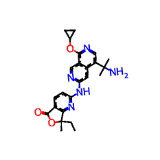 CC[C@]1(C)OC(=O)c2ccc(Nc3cc4c(C(C)(C)N)cnc(OC5CC5)c4cn3)nc21